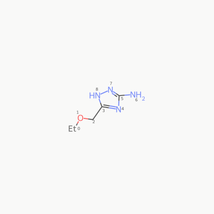 CCOCc1nc(N)n[nH]1